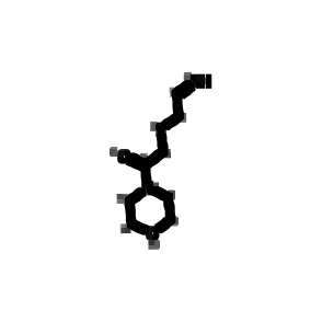 N=CCSCC(=O)N1CCOCC1